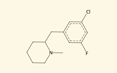 CN1CCCCC1Cc1cc(F)cc(Cl)c1